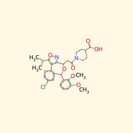 COc1cccc(C2OC(CC(=O)N3CCC(C(=O)O)CC3)c3noc(C(C)C)c3-c3ccc(Cl)cc32)c1OC